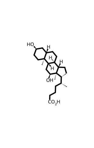 C[C@H](CCCC(=O)O)[C@H]1CC[C@H]2[C@@H]3CC[C@H]4C[C@H](O)CC[C@]4(C)[C@H]3C[C@H](O)[C@]12C